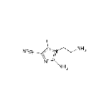 Cc1c(C#N)nc(N)n1CCN